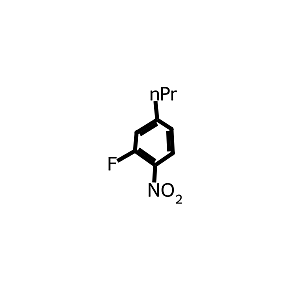 CCCc1ccc([N+](=O)[O-])c(F)c1